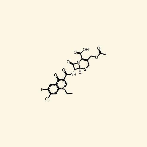 CCn1cc(C(=O)N[C@@H]2C(=O)N3C(C(=O)O)=C(COC(C)=O)CS[C@H]23)c(=O)c2cc(F)c(Cl)cc21